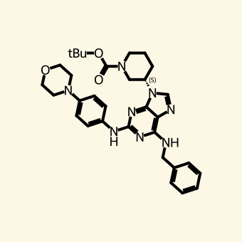 CC(C)(C)OC(=O)N1CCC[C@H](n2cnc3c(NCc4ccccc4)nc(Nc4ccc(N5CCOCC5)cc4)nc32)C1